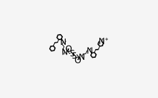 CN(CCCN(C)c1ccccc1/C=C/c1ccccc1)C(=O)CSSCC(=O)N(C)CCCN(C)c1ccccc1/C=C/c1cc[n+](C)cc1